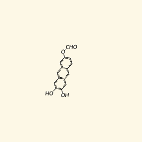 O=COc1ccc2cc3cc(O)c(O)cc3cc2c1